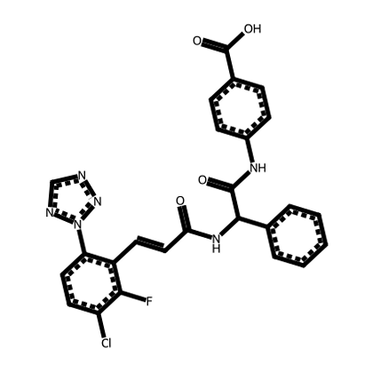 O=C(/C=C/c1c(-n2ncnn2)ccc(Cl)c1F)NC(C(=O)Nc1ccc(C(=O)O)cc1)c1ccccc1